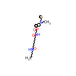 CCCCCCNC(=O)CCCCCCCCC(=O)NCCC(=O)Oc1cccc2c1CC[C@@H](N(CCC)CCc1cccs1)C2